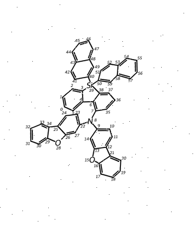 c1ccc2c(c1)-c1c(N(c3ccc4c(c3)oc3ccccc34)c3ccc4c(c3)oc3ccccc34)cccc1[Si]2(c1ccc2ccccc2c1)c1ccc2ccccc2c1